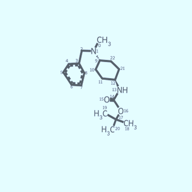 CN(Cc1ccccc1)[C@H]1CC[C@H](NC(=O)OC(C)(C)C)CC1